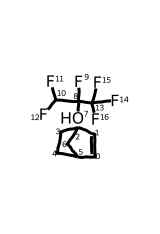 C1=CC2CCC1C2.OC(F)(C(F)F)C(F)(F)F